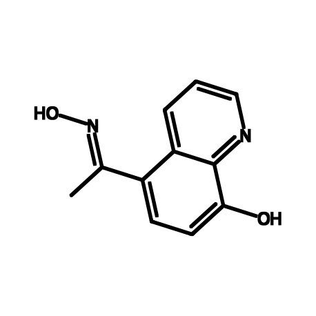 CC(=NO)c1ccc(O)c2ncccc12